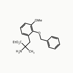 CCOC(=O)C(C)(N)Cc1cccc(OC)c1OCc1ccccc1